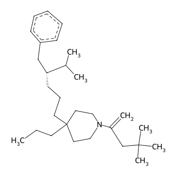 C=C(CC(C)(C)C)N1CCC(CCC)(CCC[C@H](Cc2ccccc2)C(C)C)CC1